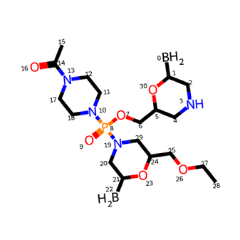 BC1CNCC(COP(=O)(N2CCN(C(C)=O)CC2)N2CC(B)OC(COCC)C2)O1